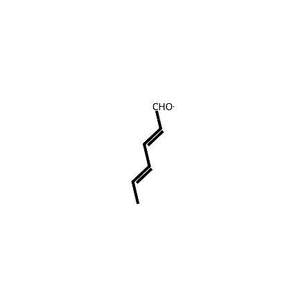 CC=CC=C[C]=O